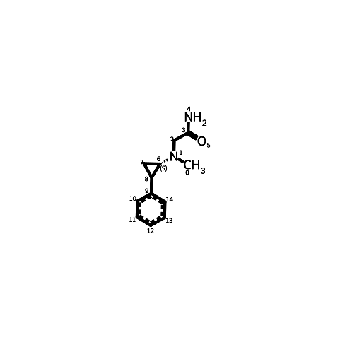 CN(CC(N)=O)[C@H]1CC1c1ccccc1